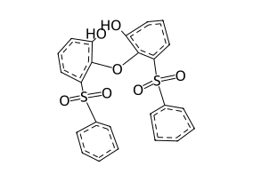 O=S(=O)(c1ccccc1)c1cccc(O)c1Oc1c(O)cccc1S(=O)(=O)c1ccccc1